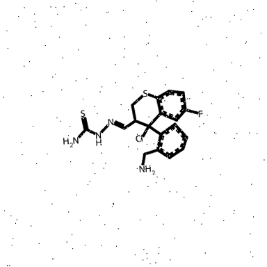 NCc1ccccc1C1(Cl)c2cc(F)ccc2SCC1C=NNC(N)=S